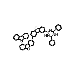 c1ccc(C2=NC(c3ccc4oc5ccc(-c6ccc7oc8cccc(-n9c%10ccccc%10c%10ccccc%109)c8c7c6)cc5c4c3)NC(c3ccccc3)N2)cc1